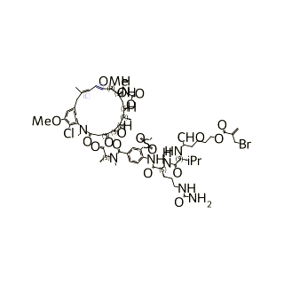 C=C(CBr)C(=O)OCCCCC(C=O)N[C@H](C(=O)N[C@@H](CCCNC(N)=O)C(=O)Nc1ccc(C(=O)N(C)[C@@H](C)C(=O)O[C@H]2CC(=O)N(C)c3cc(cc(OC)c3Cl)C/C(C)=C/C=C/[C@@H](OC)[C@@]3(O)C[C@H](OC(=O)N3)[C@@H](C)[C@@H]3O[C@@]23C)cc1S(C)(=O)=O)C(C)C